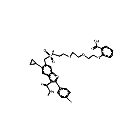 CNC(=O)c1c(-c2ccc(F)cc2)oc2cc(CS(=O)(=O)NCCOCCOCCOc3ccccc3C(=O)O)c(C3CC3)cc12